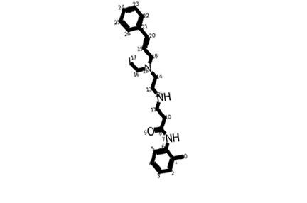 Cc1ccccc1NC(=O)CCNCCN(CI)C/C=C/c1ccccc1